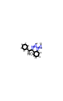 CN=NC(=C(c1ccccc1)[N+](=O)[O-])c1ccccc1N=NC